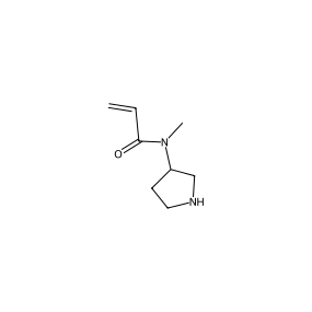 C=CC(=O)N(C)C1CCNC1